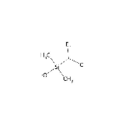 CCC(Cl)[Si](C)(C)[O]